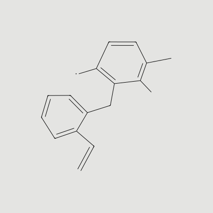 [CH2]c1ccc(C)c(C)c1Cc1ccccc1C=C